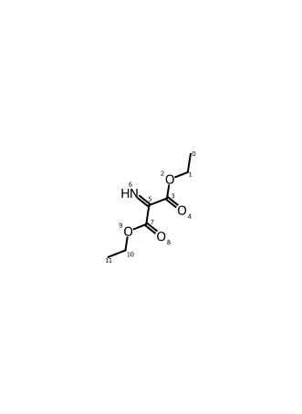 CCOC(=O)C(=N)C(=O)OCC